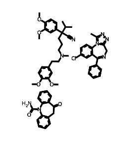 COc1ccc(CCN(C)CCCC(C#N)(c2ccc(OC)c(OC)c2)C(C)C)cc1OC.Cc1nnc2n1-c1ccc(Cl)cc1C(c1ccccc1)=NC2.NC(=O)N1c2ccccc2CC(=O)c2ccccc21